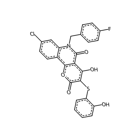 O=c1oc2c(c(O)c1Sc1ccccc1O)c(=O)n(Cc1ccc(F)cc1)c1cc(Cl)ccc21